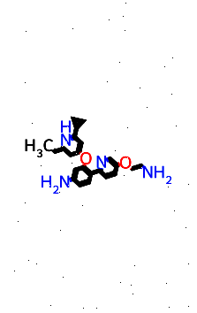 CCCC/C(=C\C(=N)C1CC1)Oc1cc(N)ccc1-c1ccc(OCCN)cn1